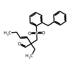 CCC=CC(C=O)(CC)CS(=O)(=O)c1ccccc1Cc1ccccc1